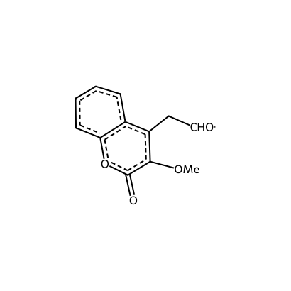 COc1c(C[C]=O)c2ccccc2oc1=O